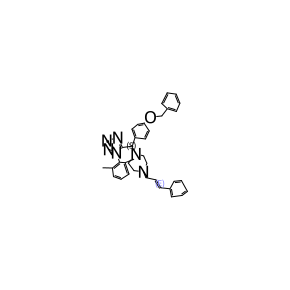 Cc1cccc(C)c1-n1nnnc1[C@H](c1ccc(OCc2ccccc2)cc1)N1CCN(C/C=C/c2ccccc2)CC1